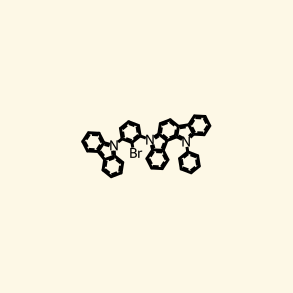 Brc1c(-n2c3ccccc3c3ccccc32)cccc1-n1c2ccccc2c2c1ccc1c3ccccc3n(-c3ccccc3)c12